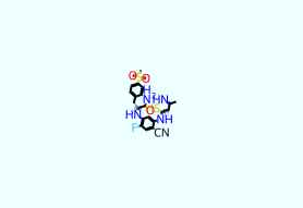 CC(=N)/C=C(\S)Nc1cc(N[C@H](Cc2ccc(S(C)(=O)=O)cc2)C(N)=O)c(F)cc1C#N